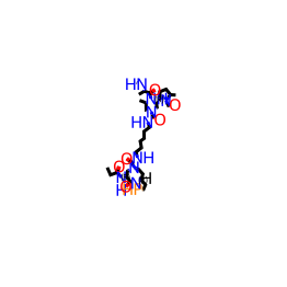 CCC(=O)N[C@@H]1CN(C(=O)NCCCCCCNC(=O)N(CC[C@H]2CCC(C)N2C=O)CC(C)NC(=O)C(C)NC)CC[C@@H]2CCPN2C1=O